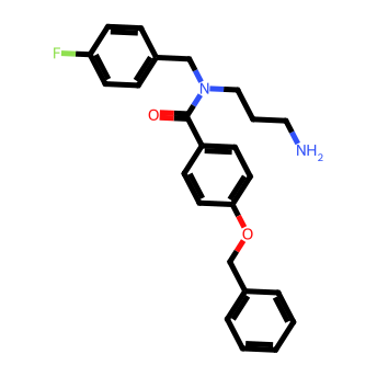 NCCCN(Cc1ccc(F)cc1)C(=O)c1ccc(OCc2ccccc2)cc1